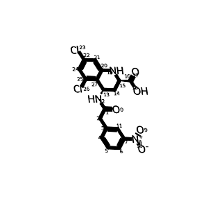 O=C(Cc1cccc([N+](=O)[O-])c1)N[C@H]1C[C@H](C(=O)O)Nc2cc(Cl)cc(Cl)c21